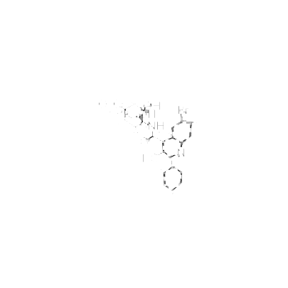 Cc1c(-c2ccccc2)nc2ccc(Br)cc2c1C(=O)NC12CCC(C(=O)O)(CC1O)CC2O